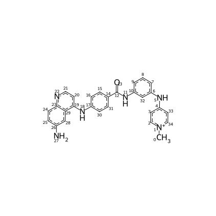 C[n+]1ccc(Nc2cccc(NC(=O)c3ccc(Nc4ccnc5ccc(N)cc45)cc3)c2)cc1